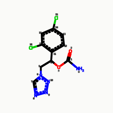 NC(=O)OC(Cn1cnnn1)c1ccc(Cl)cc1Cl